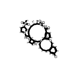 C[C@@H]1[C@@H](C)CCC[C@@](O)(CN2CC[C@@H](S(C)(=O)=O)C2)[C@@H]2CC[C@H]2CN2CCCCc3cc(Cl)ccc3COc3ccc(cc32)C(=O)NS1(=O)=O